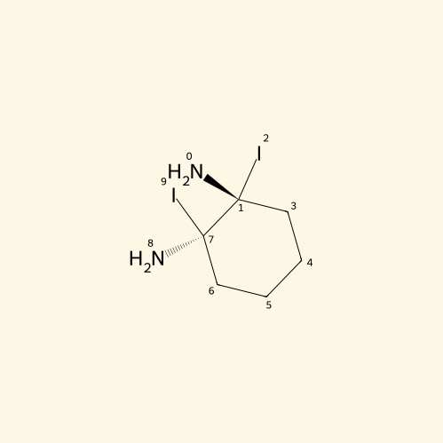 N[C@@]1(I)CCCC[C@@]1(N)I